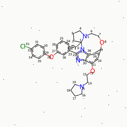 CCCC12CCCN1CCOc1cc(OCCN3CCCC3)c3nc(-c4cccc(Oc5ccc(Cl)cc5)c4)n2c3c1